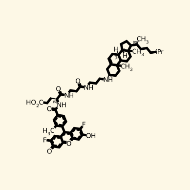 Cc1cc(C(=O)N[C@@H](CCC(=O)O)C(=O)NCCC(=O)NCCCN[C@H]2CCC3(C)C(=CC[C@@H]4C3CCC3(C)C([C@H](C)CCCC(C)C)CC[C@@H]43)C2)ccc1-c1c2cc(F)c(=O)cc-2oc2cc(O)c(F)cc12